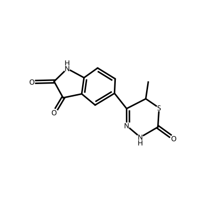 CC1SC(=O)NN=C1c1ccc2c(c1)C(=O)C(=O)N2